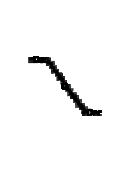 CCCCCCCCCCCCCCCCCCCCCCCOCCCCCCCCCCCCCCCCCCCCCCC